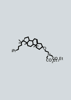 CCOC(=O)CN(CCO[C@H]1CC[C@@]2(C)C(=CCC3C2CC[C@@]2(C)C3CC[C@@H]2[C@H](C)CCCC(C)C)C1)CC(=O)OCC